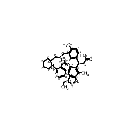 CCn1nnc2c(C)c([C@H](CC(=O)O)c3ccc(C)c(CN4CC5CCCCN5c5ncccc5S4(=O)=O)c3)ccc21